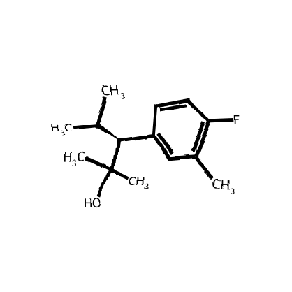 Cc1cc([C@H](C(C)C)C(C)(C)O)ccc1F